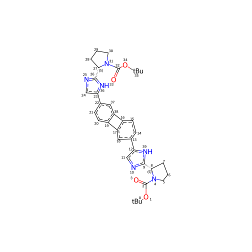 CC(C)(C)OC(=O)N1CCC[C@H]1c1ncc(-c2ccc3c(c2)-c2ccc(-c4cnc([C@@H]5CCCN5C(=O)OC(C)(C)C)[nH]4)cc2-3)[nH]1